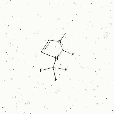 CN1C=CN(C(F)(F)F)C1F